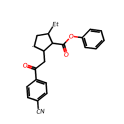 [CH2]CC1C[CH]C(CC(=O)c2ccc(C#N)cc2)C1C(=O)Oc1ccccc1